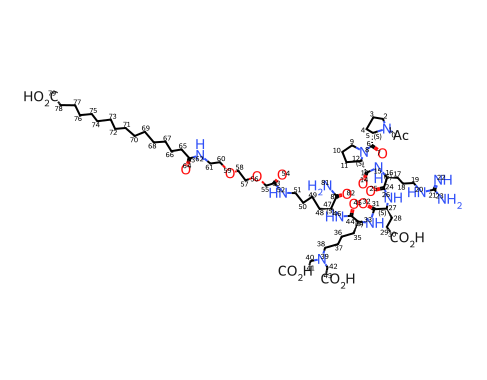 CC(=O)N1CCC[C@H]1C(=O)N1CCC[C@H]1C(=O)N[C@@H](CCCNC(=N)N)C(=O)N[C@@H](CCC(=O)O)C(=O)N[C@@H](CCCCN(CC(=O)O)CC(=O)O)C(=O)N[C@@H](CCCCNC(=O)COCCOCCNC(=O)CCCCCCCCCCCCCCC(=O)O)C(N)=O